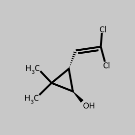 CC1(C)[C@H](O)[C@H]1C=C(Cl)Cl